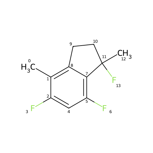 Cc1c(F)cc(F)c2c1CCC2(C)F